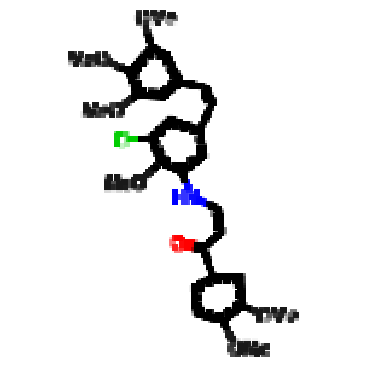 COc1ccc(C(=O)/C=C\Nc2cc(/C=C\c3cc(OC)c(OC)c(OC)c3)cc(Cl)c2OC)cc1OC